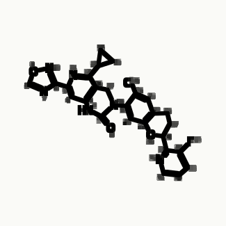 O=C1Nc2cc(-c3ncon3)nc(C3CC3)c2CN1c1cc2c(cc1Cl)CCC(c1ncccc1F)O2